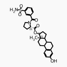 C[C@]12CCC3c4ccc(O)cc4CCC3C1CC[C@@H]2OC(=O)[C@@H]1CCCN1C(=O)c1cccc(S(N)(=O)=O)c1